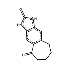 O=C1[C]CCCc2cc3[nH]c(=O)[nH]c3cc21